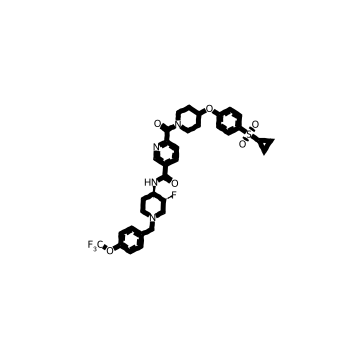 O=C(N[C@@H]1CCN(Cc2ccc(OC(F)(F)F)cc2)C[C@H]1F)c1ccc(C(=O)N2CCC(Oc3ccc(S(=O)(=O)C4CC4)cc3)CC2)nc1